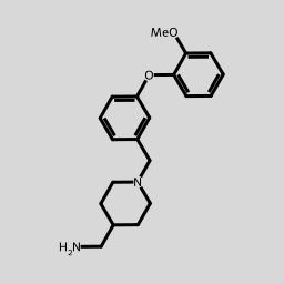 COc1ccccc1Oc1cccc(CN2CCC(CN)CC2)c1